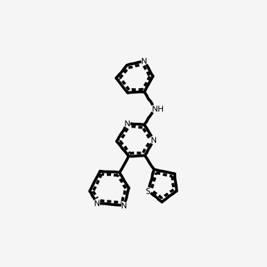 c1cncc(Nc2ncc(-c3ccnnc3)c(-c3cccs3)n2)c1